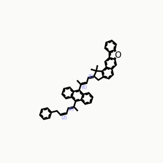 C/C(=C\C=C/Cc1ccccc1)c1c2ccccc2c(/C(C)=C/C=C2\Cc3ccc4cc5oc6ccccc6c5cc4c3C2(C)C)c2ccccc12